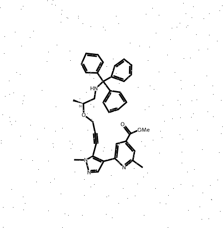 COC(=O)c1cc(C)nc(-c2cnn(C)c2C#CCO[C@@H](C)CNC(c2ccccc2)(c2ccccc2)c2ccccc2)c1